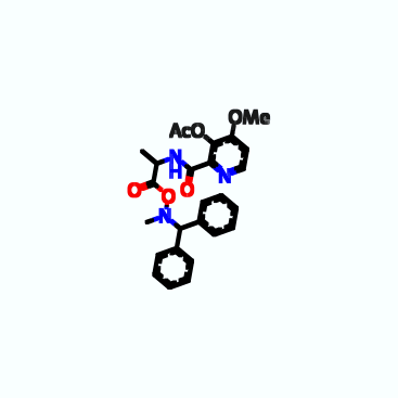 COc1ccnc(C(=O)NC(C)C(=O)ON(C)C(c2ccccc2)c2ccccc2)c1OC(C)=O